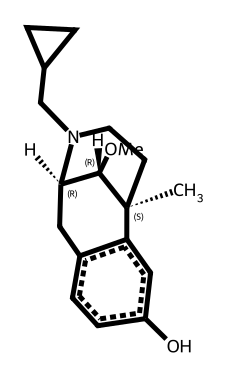 CO[C@H]1[C@H]2Cc3ccc(O)cc3[C@]1(C)CCN2CC1CC1